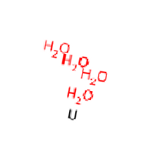 O.O.O.O.[U]